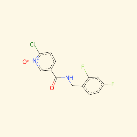 O=C(NCc1ccc(F)cc1F)c1ccc(Cl)[n+]([O-])c1